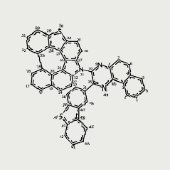 c1ccc2c(c1)ccc1nc(-n3c4ccc5cccc6c5c4c4c5c(ccc43)sc3cccc-6c35)c(-c3ccc4sc5ccccc5c4c3)nc12